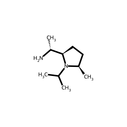 CC(C)N1[C@H](C)CC[C@@H]1[C@@H](C)N